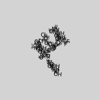 CCS(=O)(=O)c1cccnc1S(=O)(=O)NC(=O)Nc1nc(OC)cc(OC)n1.COC(=O)c1cc(Oc2ccc(Cl)cc2Cl)ccc1[N+](=O)[O-].COc1nc(C)nc(NC(=O)NS(=O)(=O)c2ccccc2CCC(F)(F)F)n1.C[S+](C)C.O=C(O)CNCP(=O)([O-])O